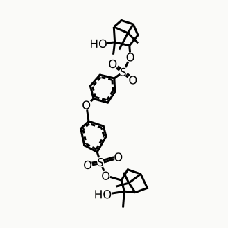 CC1(C)C2CC(OS(=O)(=O)c3ccc(Oc4ccc(S(=O)(=O)OC5CC6CC(C6(C)C)C5(C)O)cc4)cc3)C(C)(O)C1C2